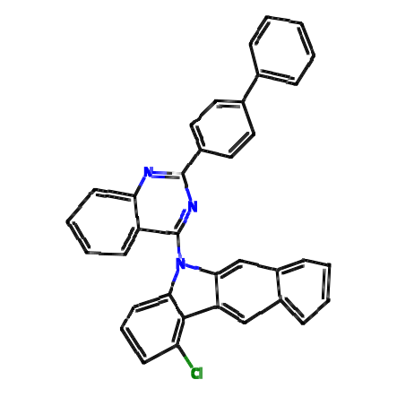 Clc1cccc2c1c1cc3ccccc3cc1n2-c1nc(-c2ccc(-c3ccccc3)cc2)nc2ccccc12